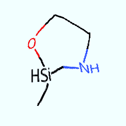 C[SiH]1NCCO1